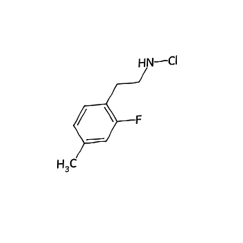 Cc1ccc(CCNCl)c(F)c1